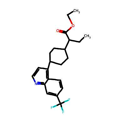 CCOC(=O)C(CC)C1CCC(c2ccnc3cc(C(F)(F)F)ccc23)CC1